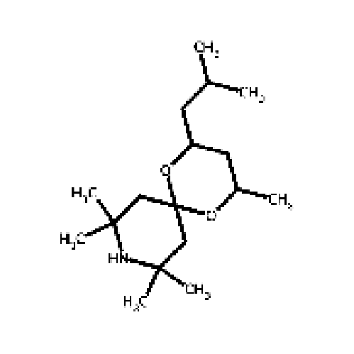 CC(C)CC1CC(C)OC2(CC(C)(C)NC(C)(C)C2)O1